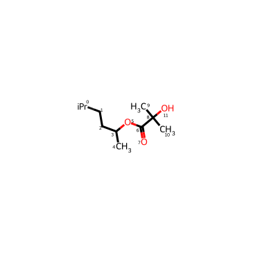 CC(C)CCC(C)OC(=O)C(C)(C)O